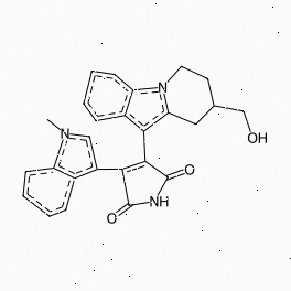 Cn1cc(C2=C(c3c4n(c5ccccc35)CCC(CO)C4)C(=O)NC2=O)c2ccccc21